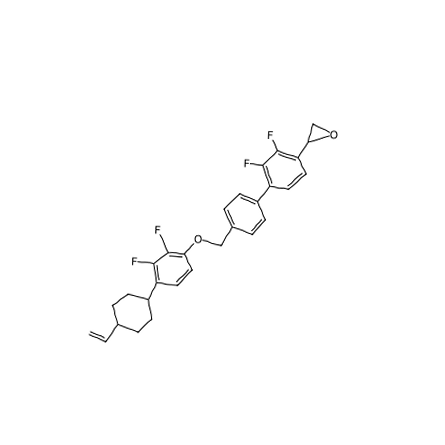 C=CC1CCC(c2ccc(OCc3ccc(-c4ccc(C5CO5)c(F)c4F)cc3)c(F)c2F)CC1